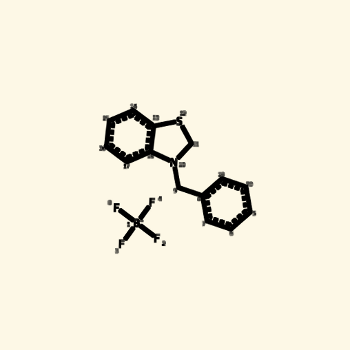 F[B-](F)(F)F.c1ccc(CN2CSc3ccccc32)cc1